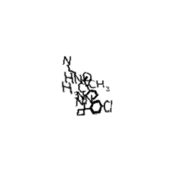 CC(C)(C(=O)NCCC#N)c1cccn2c(C3(c4ccc(Cl)cc4)CCC3)nnc12